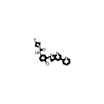 O=C(Nc1ccc(Cl)c(-n2cc3cc(-c4ccccn4)cnc3n2)c1)N1CC(F)C1